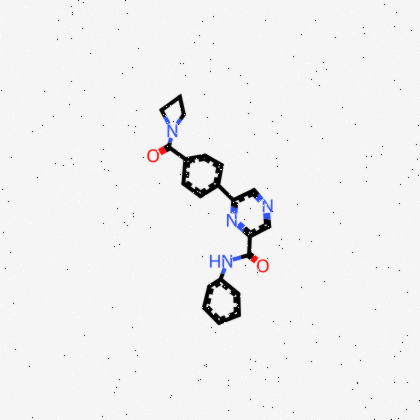 O=C(Nc1ccccc1)c1cncc(-c2ccc(C(=O)N3CCC3)cc2)n1